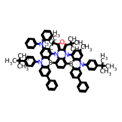 Cc1cc2c3c(c1)N1c4c(ccc5c4N(c4cc(N(c6ccccc6)c6ccccc6)cc6c4B5c4cc(-c5ccccc5)ccc4N6c4ccc(C(C)(C)C)cc4)c4c(C(C)(C)C)oc(C(C)(C)C)c41)B3c1ccc(-c3ccccc3)cc1N2c1ccc(C(C)(C)C)cc1